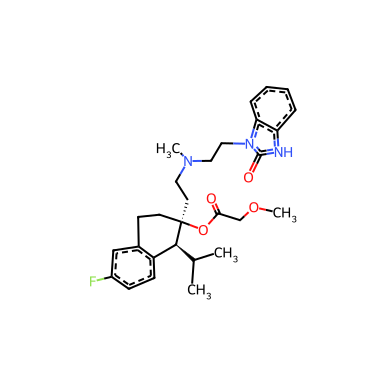 COCC(=O)O[C@]1(CCN(C)CCn2c(=O)[nH]c3ccccc32)CCc2cc(F)ccc2[C@@H]1C(C)C